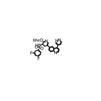 COC1=NC=C(c2ccc3nccc(-c4ccnnc4)c3c2)CC1NS(=O)(=O)C1=CC=C(F)C=C(F)C1